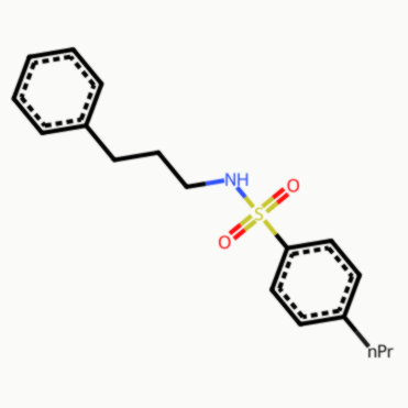 CCCc1ccc(S(=O)(=O)NCCCc2ccccc2)cc1